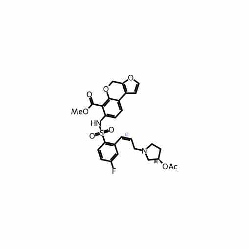 COC(=O)c1c(NS(=O)(=O)c2ccc(F)cc2/C=C\CN2CC[C@@H](OC(C)=O)C2)ccc2c1OCc1occc1-2